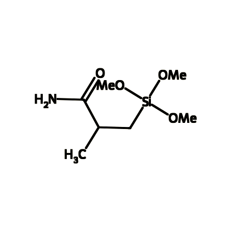 CO[Si](CC(C)C(N)=O)(OC)OC